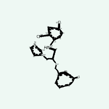 Clc1cccc(COC(CNc2ccc(Cl)cc2Cl)Cn2ccnc2)c1